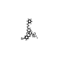 NC(=O)C1CC2(CCN(CC[CH]c3ccccc3)CC2)C(=O)N1Cc1ccc(Br)cc1